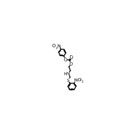 O=C(OCCNCSc1ccccc1[N+](=O)[O-])Oc1ccc([N+](=O)[O-])cc1